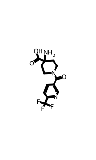 NC1(C(=O)O)CCN(C(=O)c2ccc(C(F)(F)F)nc2)CC1